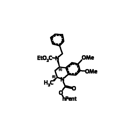 CCCCCOC(=O)N1c2cc(OC)c(OC)cc2[C@H](N(Cc2ccccc2)C(=O)OCC)C[C@@H]1C